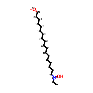 CCN(O)CCCCCCCCCCCCCCCCCCO